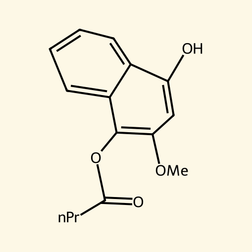 CCCC(=O)Oc1c(OC)cc(O)c2ccccc12